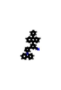 N#Cc1cc(-c2cccc(-n3c4ccccc4c4ccccc43)c2)cc(-c2c3ccccc3c(-c3ccccc3)c3ccccc23)c1